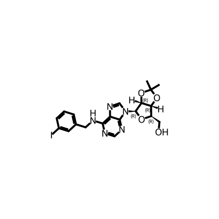 CC1(C)O[C@@H]2[C@H](O1)[C@@H](CO)O[C@H]2n1cnc2c(NCc3cccc(I)c3)ncnc21